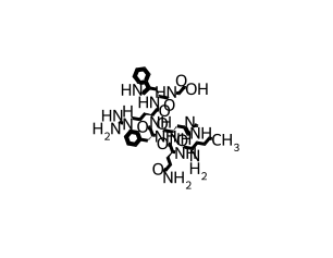 CCCC[C@H](N)C(=O)N[C@@H](CCC(N)=O)C(=O)N[C@@H](Cc1c[nH]cn1)C(=O)N[C@H](Cc1ccccc1)C(=O)N[C@@H](CCCNC(=N)N)C(=O)N[C@H](Cc1c[nH]c2ccccc12)C(=O)NCC(=O)O